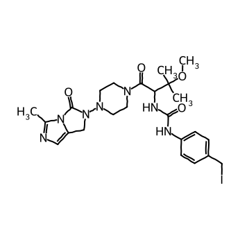 COC(C)(C)C(NC(=O)Nc1ccc(CI)cc1)C(=O)N1CCN(N2Cc3cnc(C)n3C2=O)CC1